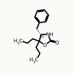 CCCC1(CCC)OC(=O)N[C@H]1Cc1ccccc1